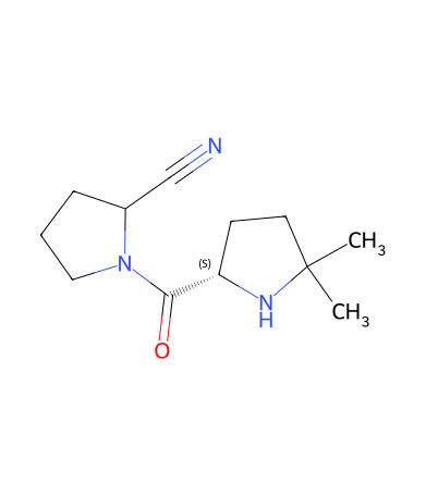 CC1(C)CC[C@@H](C(=O)N2CCCC2C#N)N1